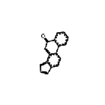 O=C1C=c2c(ccc3c2=CC=C3)-c2ccccc21